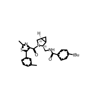 Cc1cccc(-c2sc(C)nc2C(=O)N2C[C@H]3CC3[C@H]2CNC(=O)c2ccc(C(C)(C)C)cc2)c1